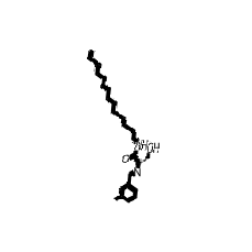 CCCCCCCCCCCCCCNC(=O)[C@H](CO)N=Cc1cccc(C)c1